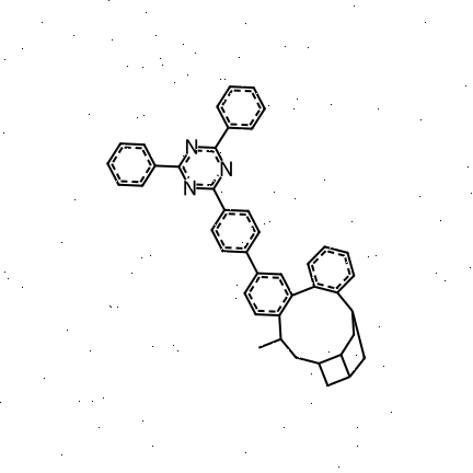 CC1CC2CC3CC(CC23)c2ccccc2-c2cc(-c3ccc(-c4nc(-c5ccccc5)nc(-c5ccccc5)n4)cc3)ccc21